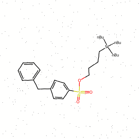 CCCC[Si](CCCC)(CCCC)CCCCOS(=O)(=O)c1ccc(Cc2ccccc2)cc1